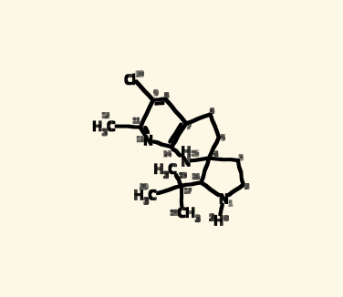 [2H]N1CCC2(CCc3cc(Cl)c(C)nc3N2)C1C(C)(C)C